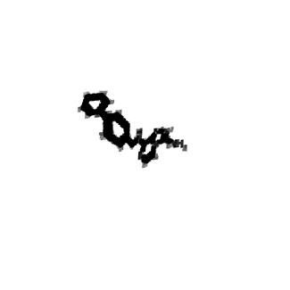 Nc1nnc2c(NCc3ccc(-c4ccccc4)cc3)nccn12